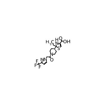 CCC1(C2CCN(C(=O)Cn3ccc(C(F)(F)F)n3)CC2)NC(C(=O)O)=CS1